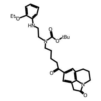 CCOc1ccccc1NCCN(CCCCC(=O)c1cc2c3c(c1)CC(=O)N3CCC2)C(=O)OC(C)(C)C